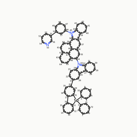 c1ccc([Si]2(c3ccccc3)c3ccccc3-c3ccc(-c4ccc5c(c4)c4ccccc4n5-c4cc5cc6c7ccccc7n(-c7cccc(-c8cccnc8)c7)c6c6ccc7cccc4c7c56)cc32)cc1